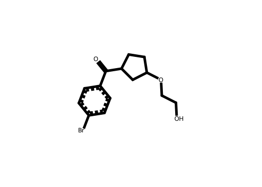 O=C(c1ccc(Br)cc1)C1CCC(OCCO)C1